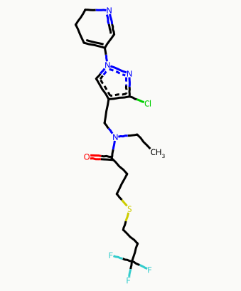 CCN(Cc1cn(C2=CCCN=C2)nc1Cl)C(=O)CCSCCC(F)(F)F